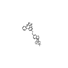 CC(C)(C)OC(=O)N1CCc2cc(CCc3cc(-c4ccccc4)c(C(F)(F)F)s3)ccc21